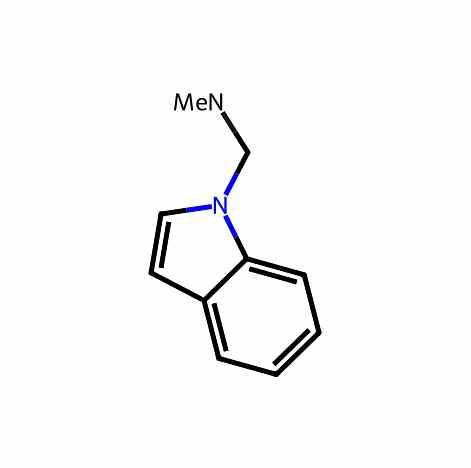 CNCn1ccc2ccccc21